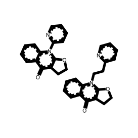 O=c1c2c(n(-c3ccccn3)c3ccccc13)OCC2.O=c1c2c(n(CCc3ccccn3)c3ccccc13)OCC2